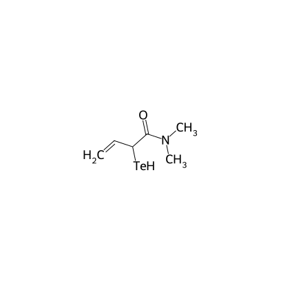 C=CC([TeH])C(=O)N(C)C